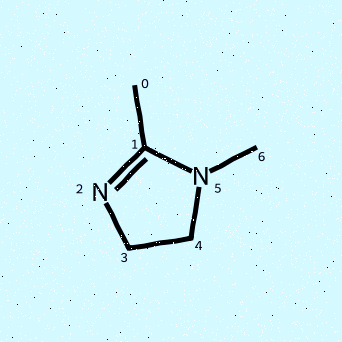 CC1=NCCN1C